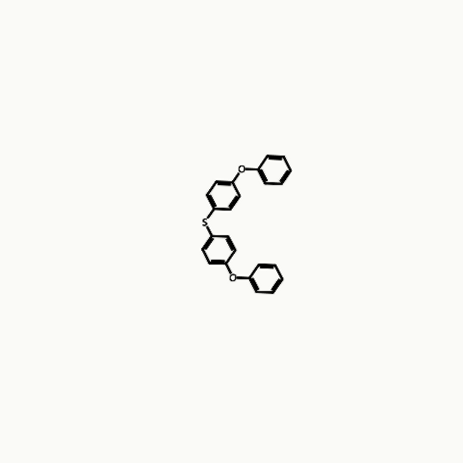 c1ccc(Oc2ccc(Sc3ccc(Oc4ccccc4)cc3)cc2)cc1